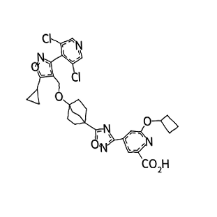 O=C(O)c1cc(-c2noc(C34CCC(OCc5c(-c6c(Cl)cncc6Cl)noc5C5CC5)(CC3)CC4)n2)cc(OC2CCC2)n1